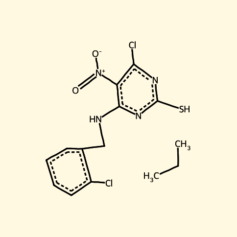 CCC.O=[N+]([O-])c1c(Cl)nc(S)nc1NCc1ccccc1Cl